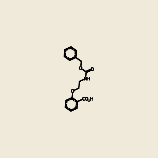 O=C(NCCOc1ccccc1C(=O)O)OCc1ccccc1